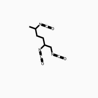 CC(CCC(CN=C=O)N=C=O)N=C=O